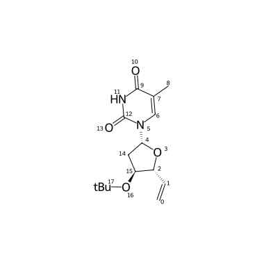 C=C[C@H]1O[C@@H](n2cc(C)c(=O)[nH]c2=O)C[C@@H]1OC(C)(C)C